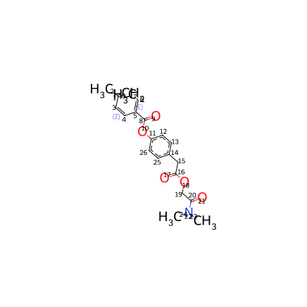 C=C(C)/C=C\C(=C/C)C(=O)Oc1ccc(CC(=O)OCC(=O)N(C)C)cc1